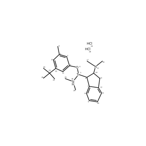 Cc1cc([O][Ti]([CH]2c3ccccc3CC2N(C)C)[SiH](C)C)cc(C(C)(C)C)c1.Cl.Cl